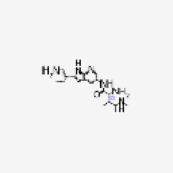 C=C/C(=C\N)c1cc2cc(NC(=O)/C(N)=C(\C)C(C)NC)cnc2[nH]1